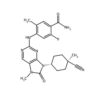 Cc1cc(C(N)=O)c(F)cc1Nc1ncc2c(n1)n([C@H]1CC[C@](C)(C#N)CC1)c(=O)n2C